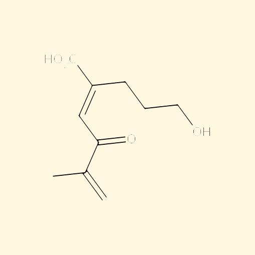 C=C(C)C(=O)C=C(CCCO)C(=O)O